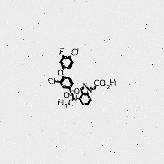 CN([C@@H]1CCCc2c1cnn2CC(=O)O)S(=O)(=O)c1ccc(Oc2ccc(Cl)c(F)c2)c(Cl)c1